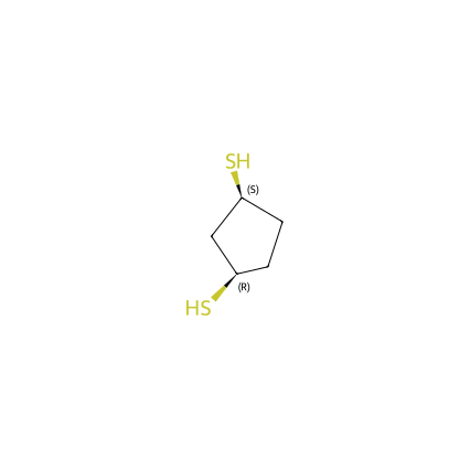 S[C@@H]1CC[C@H](S)C1